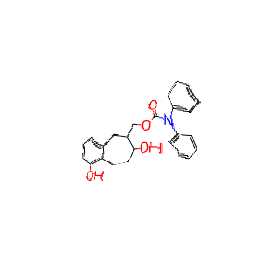 O=C(OCC1Cc2cccc(O)c2CCC1O)N(c1ccccc1)c1ccccc1